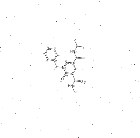 C=C(NC(C)C)c1cc(C(=O)NC)c(=O)n(Cc2ccccc2)c1